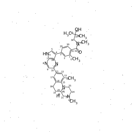 Cc1cc(-c2c[nH]c3ncc(-c4cc(C)c5c(c4)CC[C@@H]4CN(C)CCN54)nc23)ccc1C(=O)N(C)CC(C)(C)O